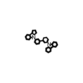 C1=CC2C(=C1)c1ccccc1N2c1cccc(C2=CC(n3c4ccccc4c4ccccc43)=CCC2)c1